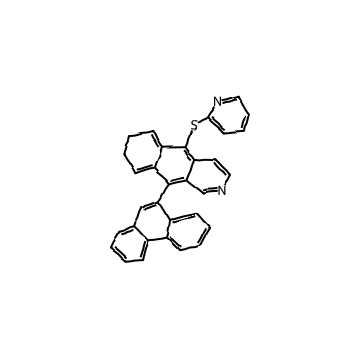 C1=c2c(Sc3ccccn3)c3ccncc3c(-c3cc4ccccc4c4ccccc34)c2=CCC1